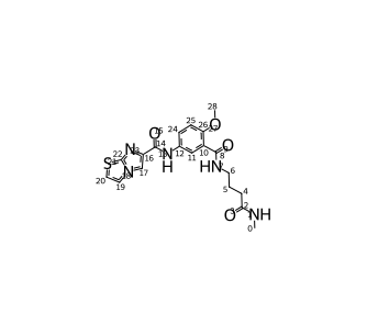 CNC(=O)CCCNC(=O)c1cc(NC(=O)c2cn3ccsc3n2)ccc1OC